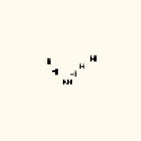 I.I.I.I.I.[KH]